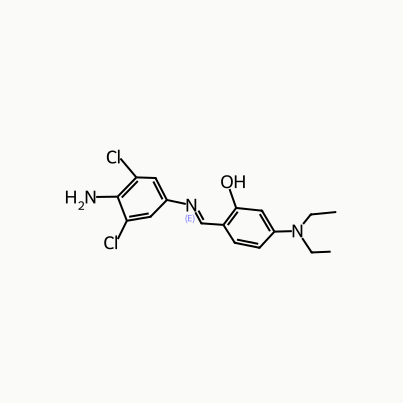 CCN(CC)c1ccc(/C=N/c2cc(Cl)c(N)c(Cl)c2)c(O)c1